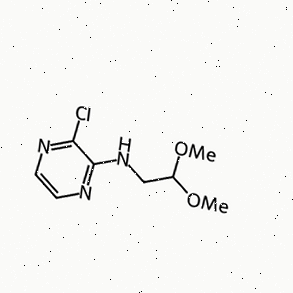 COC(CNc1nccnc1Cl)OC